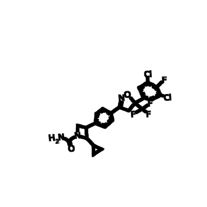 NC(=O)N1CC(c2ccc(C3=NOC(c4cc(Cl)c(F)c(Cl)c4)(C(F)(F)F)C3)cc2)C1C1CC1